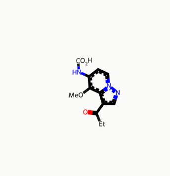 CCC(=O)c1cnn2ccc(NC(=O)O)c(OC)c12